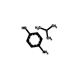 CN(C)C.Nc1ccc(O)cc1